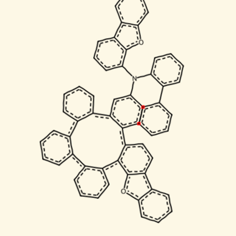 c1ccc(-c2ccccc2N(c2ccc3c(c2)c2ccccc2c2ccccc2c2ccccc2c2c3ccc3c4ccccc4oc32)c2cccc3c2oc2ccccc23)cc1